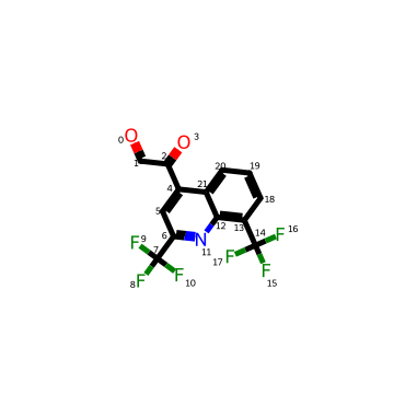 O=CC(=O)c1cc(C(F)(F)F)nc2c(C(F)(F)F)cccc12